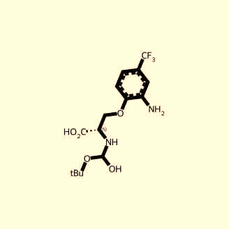 CC(C)(C)OC(O)N[C@@H](COc1ccc(C(F)(F)F)cc1N)C(=O)O